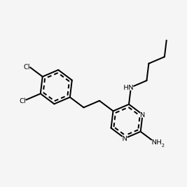 CCCCNc1nc(N)ncc1CCc1ccc(Cl)c(Cl)c1